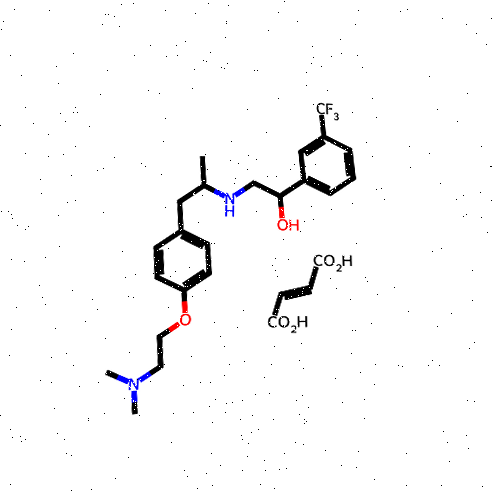 CC(Cc1ccc(OCCN(C)C)cc1)NCC(O)c1cccc(C(F)(F)F)c1.O=C(O)C=CC(=O)O